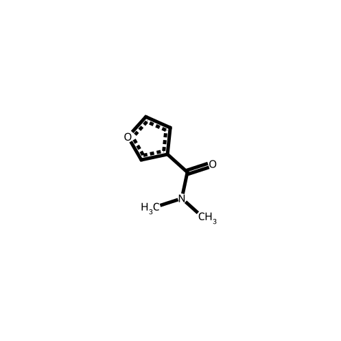 CN(C)C(=O)c1ccoc1